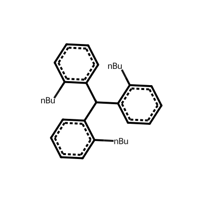 CCCCc1ccccc1[C](c1ccccc1CCCC)c1ccccc1CCCC